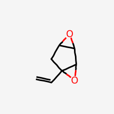 C=CC12CC3OC3C1O2